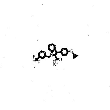 O=C([O-])c1c(-c2ccc(SC3CC3)cc2)c2ccccc2n1Cc1cccc(C(F)(F)F)c1.[K+]